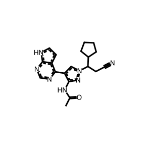 CC(=O)Nc1nn(C(CC#N)C2CCCC2)cc1-c1ncnc2[nH]ccc12